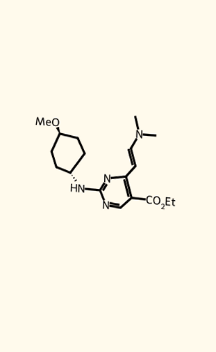 CCOC(=O)c1cnc(N[C@H]2CC[C@H](OC)CC2)nc1/C=C/N(C)C